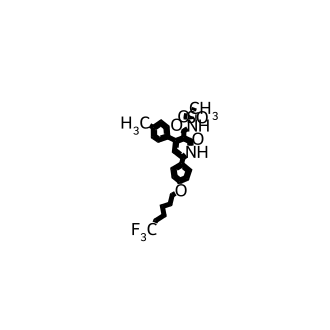 Cc1ccc(-c2cc(-c3ccc(OCCCCCC(F)(F)F)cc3)[nH]c(=O)c2C(=O)NS(C)(=O)=O)cc1